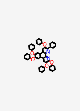 c1ccc(Oc2cc3c(cc2Oc2ccccc2)c2cc(Oc4ccccc4)c(-c4ccccc4)nc2c2nc(Oc4ccccc4)c(Oc4ccccc4)cc32)cc1